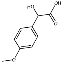 COc1ccc(C(O)C(=O)O)cc1